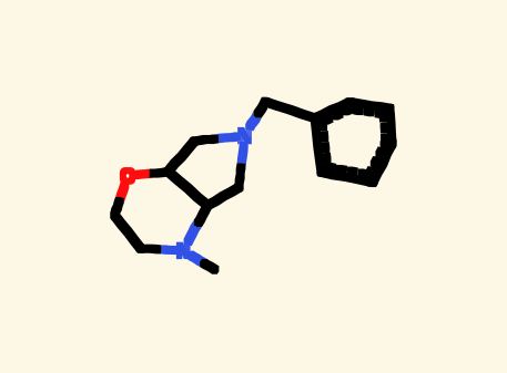 CN1CCOC2CN(Cc3ccccc3)CC21